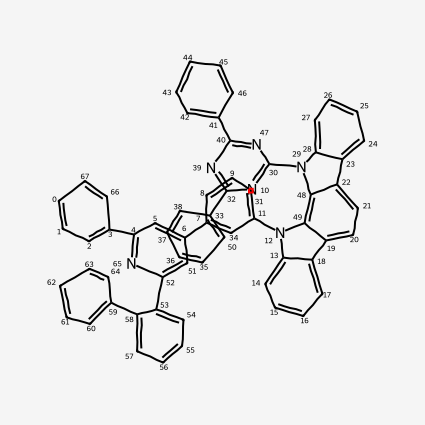 c1ccc(-c2cc(-c3cccc(-n4c5ccccc5c5ccc6c7ccccc7n(-c7nc(-c8ccccc8)nc(-c8ccccc8)n7)c6c54)c3)cc(-c3ccccc3-c3ccccc3)n2)cc1